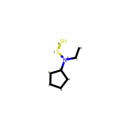 CCN(SS)C1CCCC1